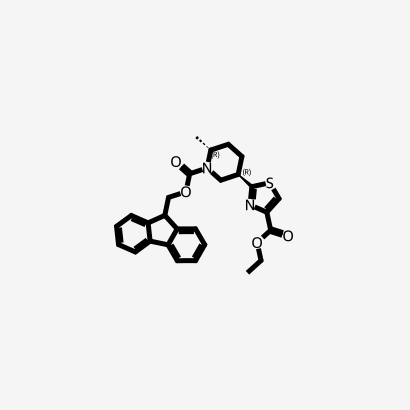 CCOC(=O)c1csc([C@@H]2CC[C@@H](C)N(C(=O)OCC3c4ccccc4-c4ccccc43)C2)n1